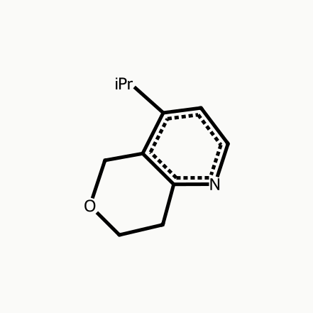 CC(C)c1ccnc2c1COCC2